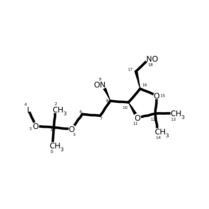 CC(C)(OI)OCC[C@@H](N=O)[C@@H]1OC(C)(C)O[C@@H]1CN=O